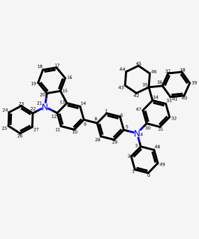 c1ccc(N(c2ccc(-c3ccc4c(c3)c3ccccc3n4-c3ccccc3)cc2)c2cccc(C3(c4ccccc4)CCCCC3)c2)cc1